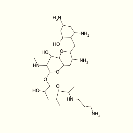 CCC(OC(OC1OC2CC(N)C(CC3C(N)CC(N)CC3O)OC2C(O)C1NC)C(C)O)C(C)NCCCN